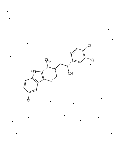 CC1c2[nH]c3ccc(Cl)cc3c2CCN1CC(O)c1cc(Cl)c(Cl)cn1